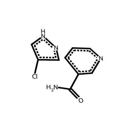 Clc1cn[nH]c1.NC(=O)c1cccnc1